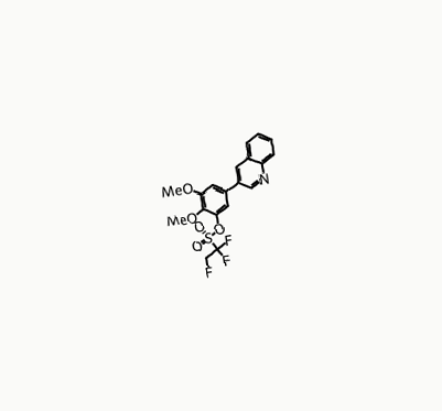 COc1cc(-c2cnc3ccccc3c2)cc(OS(=O)(=O)C(F)(F)CF)c1OC